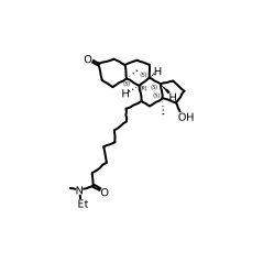 CCN(C)C(=O)CCCCCCCC1C[C@]2(C)C(O)CC[C@H]2[C@@H]2CCC3CC(=O)CC[C@]3(C)[C@H]12